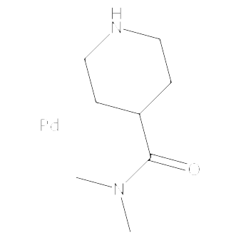 CN(C)C(=O)C1CCNCC1.[Pd]